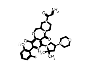 C=CC(=O)N1CCN2C(=O)c3c(N4C[C@@H](N5CCOCC5)CC4(C)C)nc(-c4c(O)cccc4F)c(Cl)c3OCC2C1